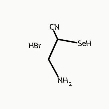 Br.N#CC([SeH])CN